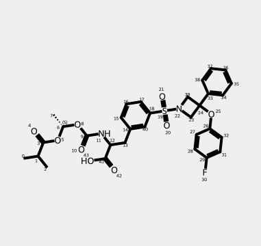 CC(C)C(=O)O[C@H](C)OC(=O)NC(Cc1cccc(S(=O)(=O)N2CC(Oc3ccc(F)cc3)(c3ccccc3)C2)c1)C(=O)O